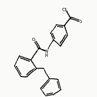 O=C(Cl)c1ccc(NC(=O)c2ccccc2Cc2ccccc2)cc1